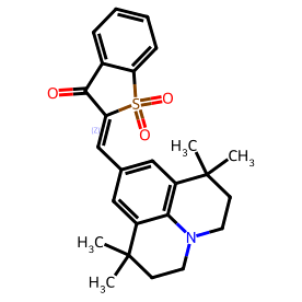 CC1(C)CCN2CCC(C)(C)c3cc(/C=C4/C(=O)c5ccccc5S4(=O)=O)cc1c32